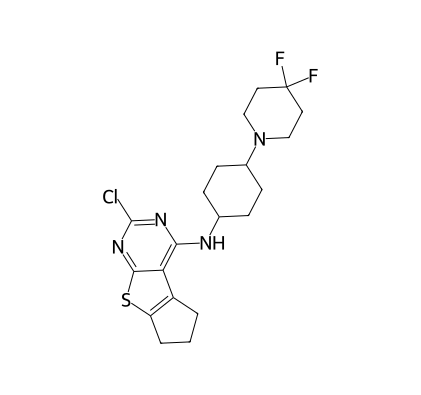 FC1(F)CCN(C2CCC(Nc3nc(Cl)nc4sc5c(c34)CCC5)CC2)CC1